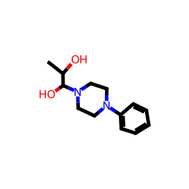 CC(O)C(O)N1CCN(c2ccccc2)CC1